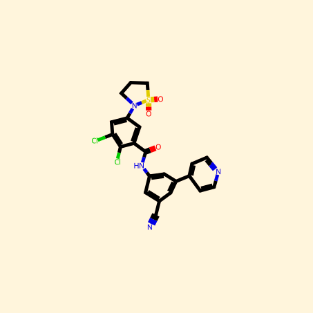 N#Cc1cc(NC(=O)c2cc(N3CCCS3(=O)=O)cc(Cl)c2Cl)cc(-c2ccncc2)c1